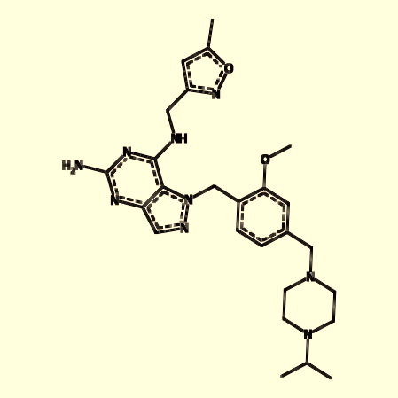 COc1cc(CN2CCN(C(C)C)CC2)ccc1Cn1ncc2nc(N)nc(NCc3cc(C)on3)c21